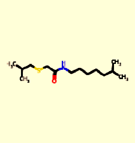 CC(C)CCCCCNC(=O)CSCC(C)C